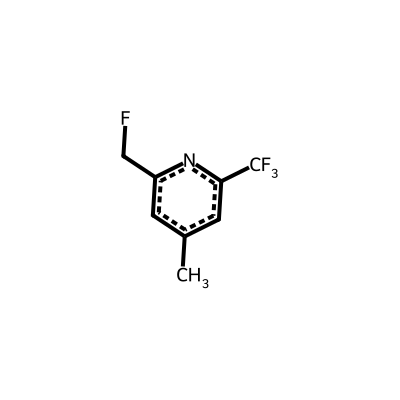 Cc1cc(CF)nc(C(F)(F)F)c1